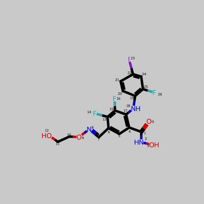 O=C(NO)c1cc(C=NOCCO)c(F)c(F)c1Nc1ccc(I)cc1F